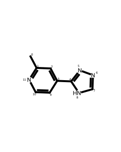 Cc1cc(-c2nn[c][nH]2)ccn1